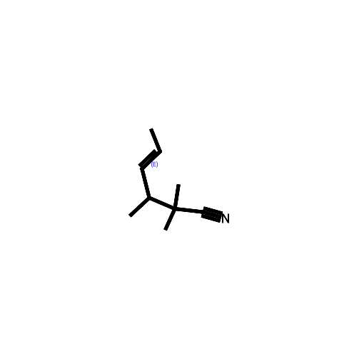 C/C=C/C(C)C(C)(C)C#N